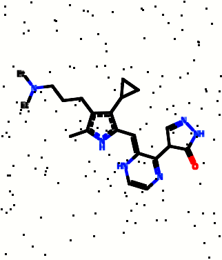 CCN(CC)CCCc1c(C)[nH]c(C=C2NC=CN=C2C2C=NNC2=O)c1C1CC1